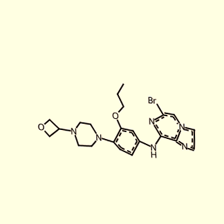 CCCOc1cc(Nc2nc(Br)cn3ccnc23)ccc1N1CCN(C2COC2)CC1